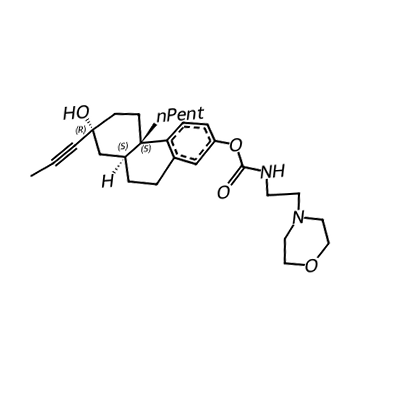 CC#C[C@@]1(O)CC[C@]2(CCCCC)c3ccc(OC(=O)NCCN4CCOCC4)cc3CC[C@H]2C1